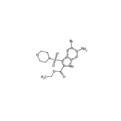 CCOC(=O)c1[nH]c2cc(N)c(Br)cc2c1S(=O)(=O)N1CCOCC1